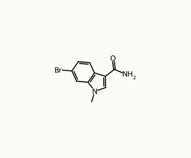 Cn1cc(C(N)=O)c2ccc(Br)cc21